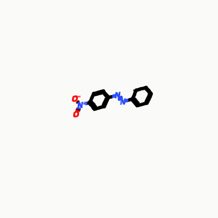 O=[N+]([O-])c1ccc(N=NC2=CC=CC[CH]2)cc1